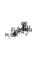 C=C([C@H](C)CC1O[C@H](C[C@H](C)CC)[C@H](C)[C@H]1CS(=O)(=O)c1ccccc1)[C@H](C)C[C@H]1CC[C@@H]2O[C@@H](C)C[C@]2(CC)O1